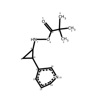 CC(C)(C)C(=O)ONC1CC1c1cccnc1